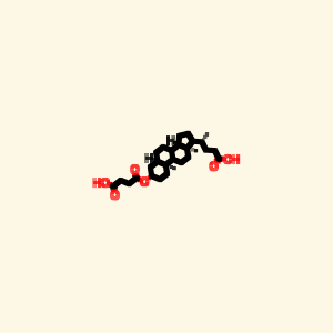 C[C@H](CCC(=O)O)C1CC[C@H]2C3CC[C@@H]4C[C@H](OC(=O)CCC(=O)O)CC[C@]4(C)C3CC[C@]12C